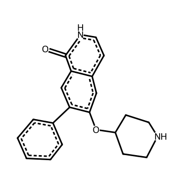 O=c1[nH]ccc2cc(OC3CCNCC3)c(-c3ccccc3)cc12